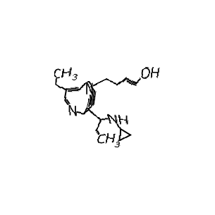 CCC1=C\C2C#CC(/N=C\1)C(C(CC)NC1CC1)=CN2CC/C=C/O